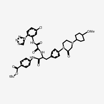 COC1CCC(N2CCN(c3ccc(CC(NC(=O)C(=O)Nc4cc(Cl)ccc4-n4cnnn4)C(=O)Nc4ccc(C(=O)OC(C)(C)C)cc4)cc3)C(=O)C2)CC1